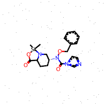 C[Si]1(C)OC(=O)C2CC[C@@H](N(OCc3ccccc3)C(=O)n3ccnc3)CN21